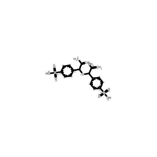 C=C(C)C(OC(C(=C)C)c1ccc(S(=O)(=O)O)cc1)c1ccc(S(=O)(=O)O)cc1